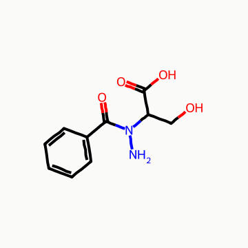 NN(C(=O)c1ccccc1)C(CO)C(=O)O